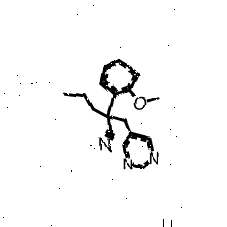 CCCC(C#N)(Cc1cncnc1)c1ccccc1OC